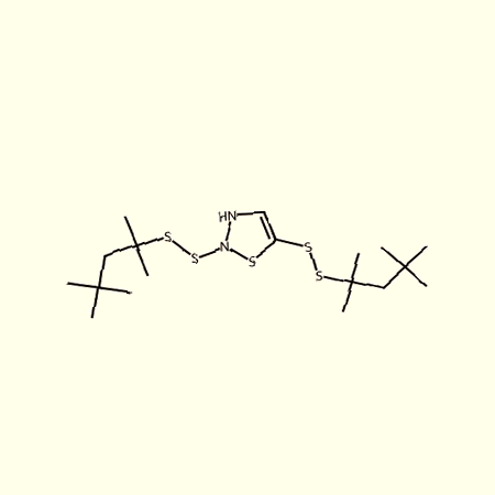 CC(C)(C)CC(C)(C)SSC1=CNN(SSC(C)(C)CC(C)(C)C)S1